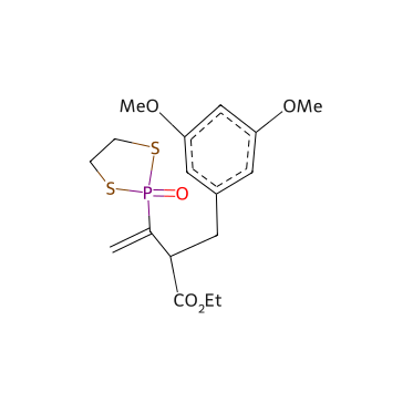 C=C(C(Cc1cc(OC)cc(OC)c1)C(=O)OCC)P1(=O)SCCS1